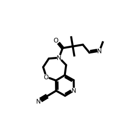 C/N=C\CC(C)(C)C(=O)N1CCOc2c(C#N)cncc2C1